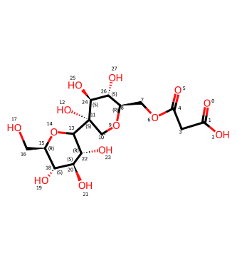 O=C(O)CC(=O)OC[C@H]1O[CH][C@@](O)(C2O[C@H](CO)[C@@H](O)[C@H](O)[C@H]2O)[C@@H](O)[C@@H]1O